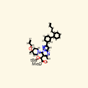 C=CCCc1ccccc1-c1cccc(-c2cc3nc(C)c(C(OC(C)(C)C)C(=O)OC)c(N4CCC(C)(OCC=C)CC4)n3n2)c1